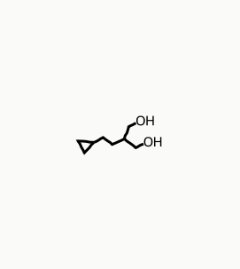 OCC(CO)CCC1CC1